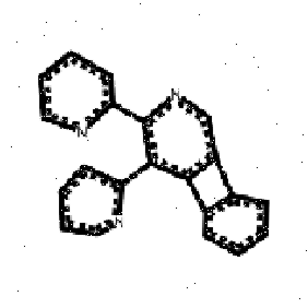 c1ccc(-c2ncc3c(c2-c2ccccn2)-c2ccccc2-3)nc1